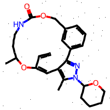 C=C/C1=C\c2c(nn(C3CCCCO3)c2C)-c2cccc(c2)COC(=O)NCCC(C)O1